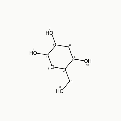 OCC1OC(O)C(O)C[C]1O